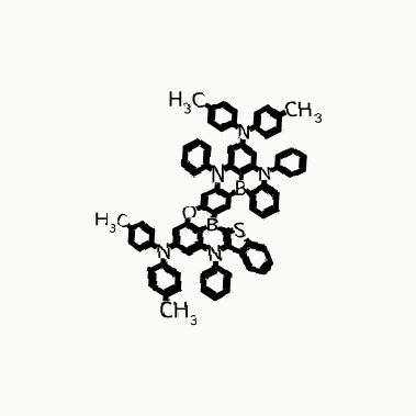 Cc1ccc(N(c2ccc(C)cc2)c2cc3c4c(c2)N(c2ccccc2)c2c(sc5ccccc25)B4c2cc4c(cc2O3)N(c2ccccc2)c2cc(N(c3ccc(C)cc3)c3ccc(C)cc3)cc3c2B4c2ccccc2N3c2ccccc2)cc1